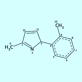 CC1=NC(c2ccccc2C)C=C1